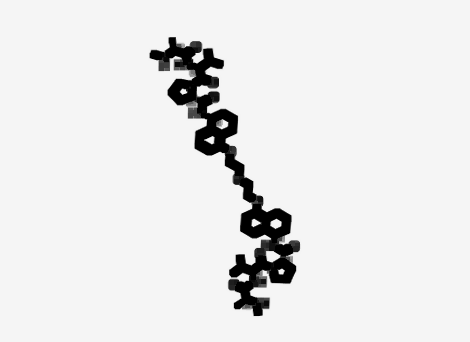 CN[C@@H](C)C(=O)N[C@H](C(=O)N1CCC[C@H]1C(=O)N[C@@H]1CCCc2c(OCCOCCOc3cccc4c3CCC[C@H]4NC(=O)[C@@H]3CCCN3C(=O)[C@@H](NC(=O)[C@H](C)NC)C(C)C)cccc21)C(C)C